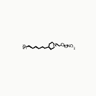 CC(C)CCCCCCC1CCN(CCOO[N+](=O)[O-])CC1